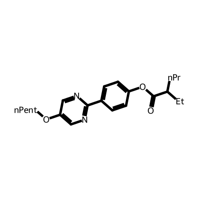 CCCCCOc1cnc(-c2ccc(OC(=O)C(CC)CCC)cc2)nc1